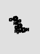 NC1=C(c2ccc(NC(=O)c3cccc(Cl)c3)c3c2OCO3)CNC=C1